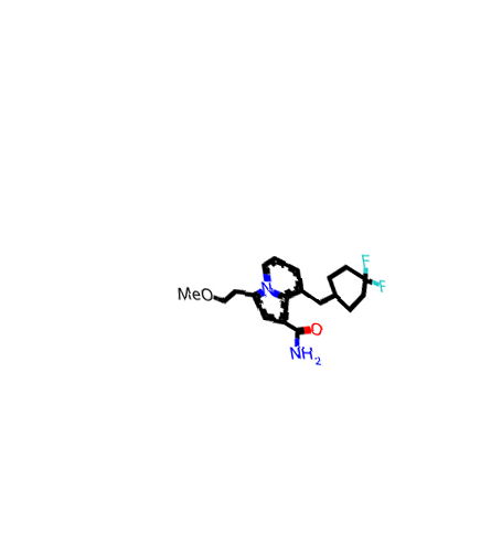 COCCc1cc(C(N)=O)c2c(CC3CCC(F)(F)CC3)cccn12